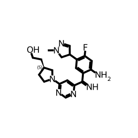 CN1CC(c2cc(C(=N)c3cc(N4CC[C@@H](CCO)C4)ncn3)c(N)cc2F)C=N1